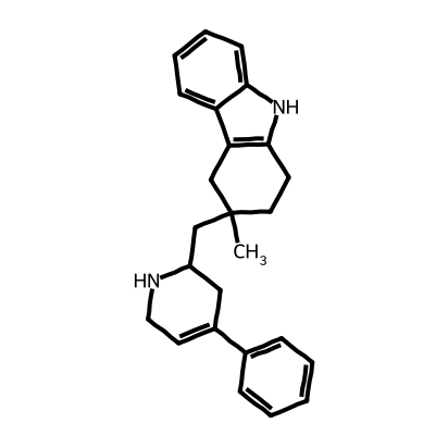 CC1(CC2CC(c3ccccc3)=CCN2)CCc2[nH]c3ccccc3c2C1